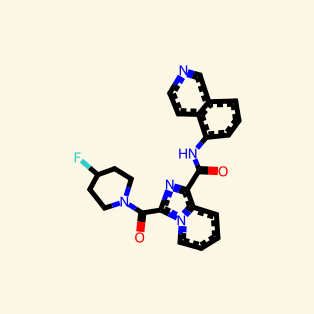 O=C(Nc1cccc2cnccc12)c1nc(C(=O)N2CCC(F)CC2)n2ccccc12